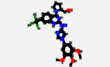 COc1cc(-n2cnc(Nc3nc(N4CCCC4CO)c4ccc(C(F)(F)F)cc4n3)c2)cc(OC)c1OC